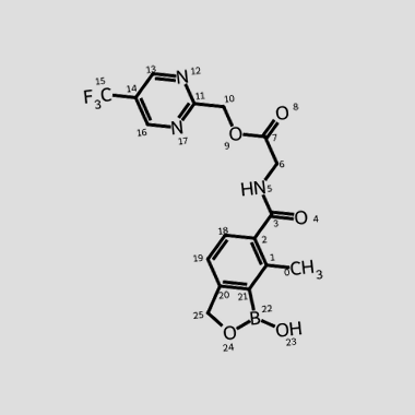 Cc1c(C(=O)NCC(=O)OCc2ncc(C(F)(F)F)cn2)ccc2c1B(O)OC2